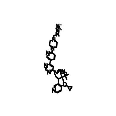 CCC(C)(C)C(C)(C)C(CN(N)c1cc(-c2ccc(N3CCN(CN=[N+]=[N-])CC3)nc2)ncn1)c1cnccc1OC1CC1